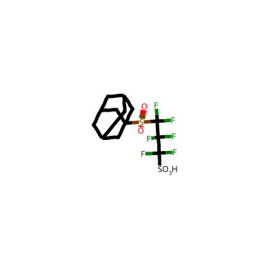 O=S(=O)(O)C(F)(F)C(F)(F)C(F)(F)S(=O)(=O)C12CC3CC(CC(C3)C1)C2